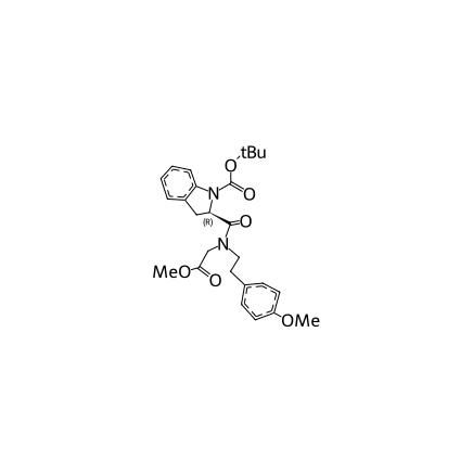 COC(=O)CN(CCc1ccc(OC)cc1)C(=O)[C@H]1Cc2ccccc2N1C(=O)OC(C)(C)C